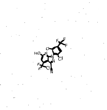 N#Cc1nn(-c2c(Cl)cc(C(F)(F)F)cc2Cl)c2nc(O)cc(C(F)(F)Cl)c12